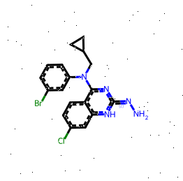 N/N=c1/nc(N(CC2CC2)c2cccc(Br)c2)c2ccc(Cl)cc2[nH]1